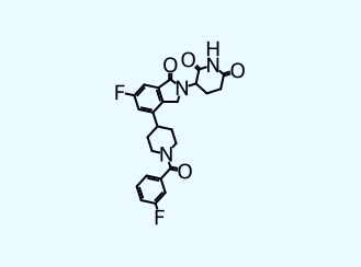 O=C1CCC(N2Cc3c(cc(F)cc3C3CCN(C(=O)c4cccc(F)c4)CC3)C2=O)C(=O)N1